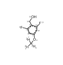 [2H]C([2H])([2H])Oc1cc(F)c(CO)c(F)c1